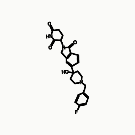 O=C1CCC(N2Cc3cc(C4(O)CCN(Cc5ccc(F)cc5)CC4)ccc3C2=O)C(=O)N1